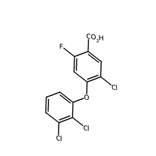 O=C(O)c1cc(Cl)c(Oc2cccc(Cl)c2Cl)cc1F